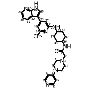 O=C(CN1CCN(c2ccncc2)CC1)NC1CCC(Nc2cc(-c3c[nH]c4ncccc34)cc(Cl)n2)CC1